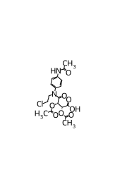 CC(=O)Nc1ccc(N(CCCl)C(=O)[C@H](OC(C)=O)[C@@H](OC(C)=O)C(=O)O)cc1